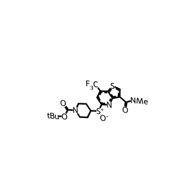 CNC(=O)c1csc2c(C(F)(F)F)cc([S+]([O-])C3CCN(C(=O)OC(C)(C)C)CC3)nc12